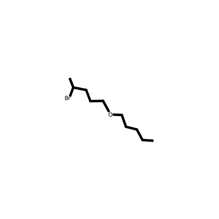 CCCCCOCCCC(C)Br